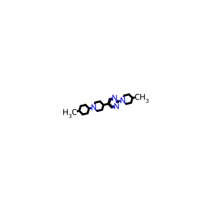 CC1CCC(N2CCC(c3cnc(N4CCC(C)CC4)nc3)CC2)CC1